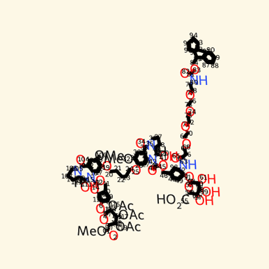 COC(=O)[C@H]1O[C@@H](Oc2ccc(COC(=O)N3c4cc(OCCCCCOc5cc6c(cc5OC)C(=O)N5CCC[C@H]5[C@H](O)N6C(=O)OCc5ccc(O[C@@H]6O[C@H](C(=O)O)[C@@H](O)[C@H](O)[C@H]6O)c(NC(=O)CCOCCOCCOCCOCCNC(=O)OCC6c7ccccc7-c7ccccc76)c5)c(OC)cc4C(=O)N4CCC[C@H]4[C@@H]3O)cc2)[C@H](OC(C)=O)[C@@H](OC(C)=O)[C@@H]1OC(C)=O